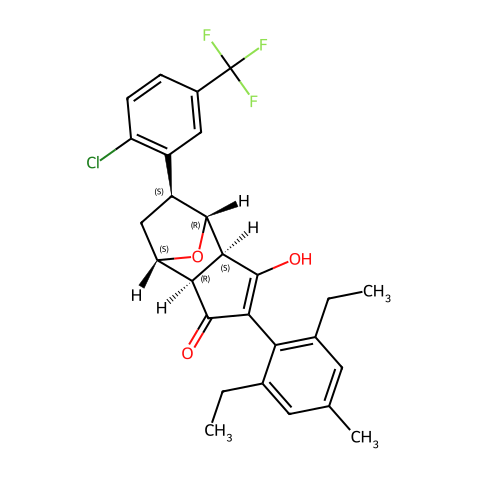 CCc1cc(C)cc(CC)c1C1=C(O)[C@@H]2[C@@H]3O[C@@H](C[C@H]3c3cc(C(F)(F)F)ccc3Cl)[C@@H]2C1=O